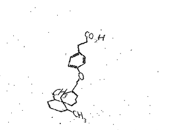 CC1CCCC(C)C12CCCC(COc1ccc(CCC(=O)O)cc1)C2